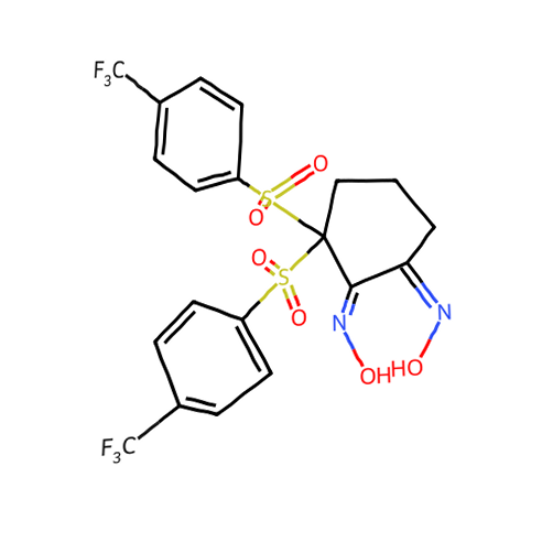 O=S(=O)(c1ccc(C(F)(F)F)cc1)C1(S(=O)(=O)c2ccc(C(F)(F)F)cc2)CCCC(=NO)C1=NO